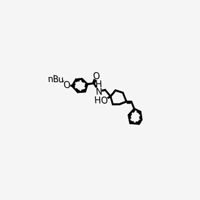 CCCCOc1ccc(C(=O)NCC2(O)CCC(=Cc3ccccc3)CC2)cc1